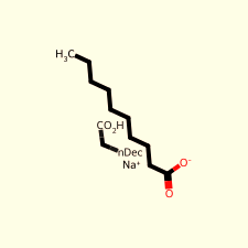 CCCCCCCCCC(=O)[O-].CCCCCCCCCCCC(=O)O.[Na+]